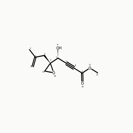 C=C(C)C[C@]1([C@H](O)C#CC(=O)OC)CO1